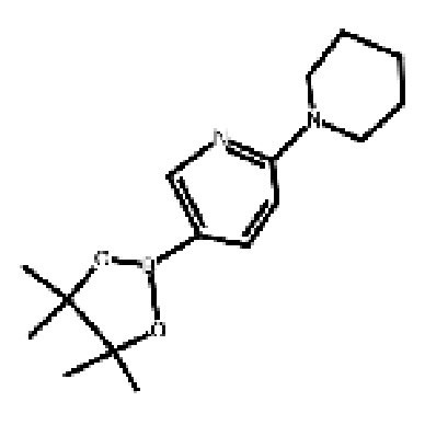 CC1(C)OB(c2ccc(N3CCCCC3)nc2)OC1(C)C